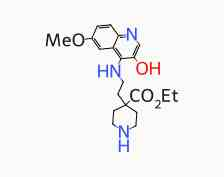 CCOC(=O)C1(CCNc2c(O)cnc3ccc(OC)cc23)CCNCC1